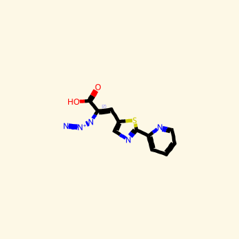 [N-]=[N+]=N/C(=C\c1cnc(-c2ccccn2)s1)C(=O)O